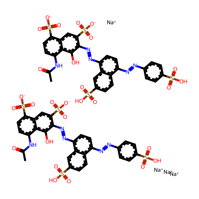 CC(=O)Nc1ccc(S(=O)(=O)[O-])c2cc(S(=O)(=O)[O-])c(N=Nc3ccc(N=Nc4ccc(S(=O)(=O)O)cc4)c4ccc(S(=O)(=O)O)cc34)c(O)c12.CC(=O)Nc1ccc(S(=O)(=O)[O-])c2cc(S(=O)(=O)[O-])c(N=Nc3ccc(N=Nc4ccc(S(=O)(=O)O)cc4)c4ccc(S(=O)(=O)O)cc34)c(O)c12.[Na+].[Na+].[Na+].[Na+]